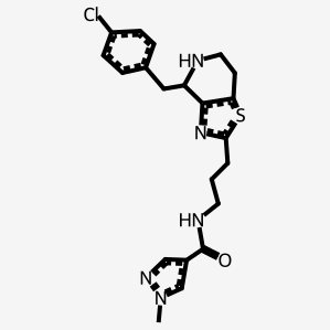 Cn1cc(C(=O)NCCCc2nc3c(s2)CCNC3Cc2ccc(Cl)cc2)cn1